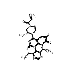 C=CC(=O)N1CCN(c2nc(=O)n(-c3c(CC)ncnc3CC)c3[nH]c(=O)c(F)cc23)[C@@H](C)C1